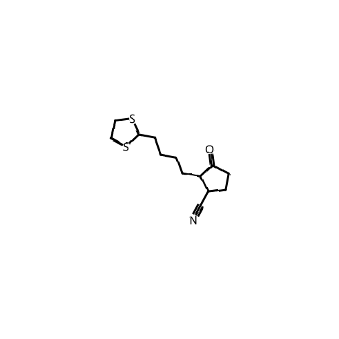 N#CC1CCC(=O)C1CCCCC1SCCS1